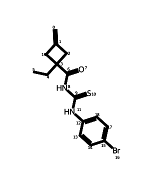 C=C1CC(CC)(C(=O)NC(=S)Nc2ccc(Br)cc2)C1